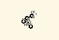 O=C(Nc1ccccn1)N1c2nc(-c3cncc(C(F)(F)F)c3)ccc2N2CCCC1C2